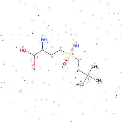 CC(C)(C)CCS(=N)(=O)CC[C@H](N)C(=O)O